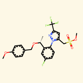 COc1ccc(CO[C@H](C)c2cc(F)ccc2-n2nc(C(F)(F)F)cc2CS(=O)(=O)OC)cc1